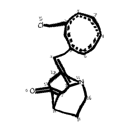 O=C1C(=Cc2ccccc2Cl)N2CCC1CC2